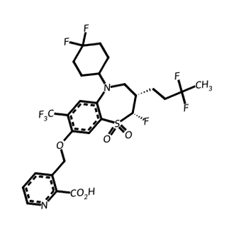 CC(F)(F)CC[C@H]1CN(C2CCC(F)(F)CC2)c2cc(C(F)(F)F)c(OCc3cccnc3C(=O)O)cc2S(=O)(=O)[C@H]1F